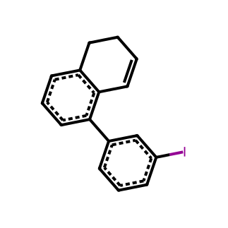 Ic1cccc(-c2cccc3c2C=CCC3)c1